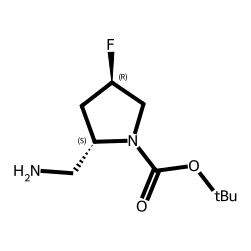 CC(C)(C)OC(=O)N1C[C@H](F)C[C@H]1CN